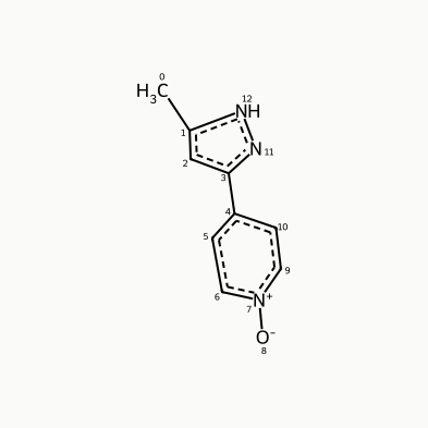 Cc1cc(-c2cc[n+]([O-])cc2)n[nH]1